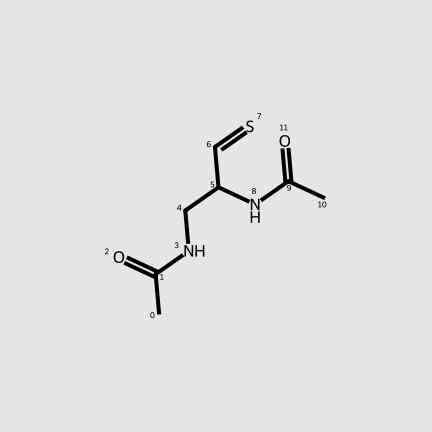 CC(=O)NCC(C=S)NC(C)=O